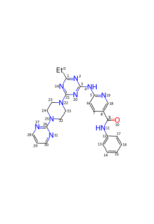 CCc1nc(Nc2ccc(C(=O)Nc3ccccc3)cn2)nc(N2CCN(c3ncccn3)CC2)n1